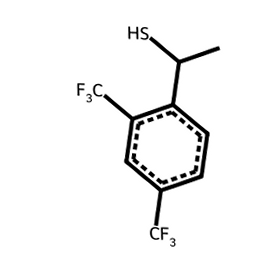 CC(S)c1ccc(C(F)(F)F)cc1C(F)(F)F